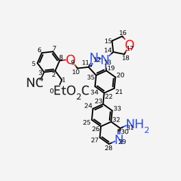 CCOC(=O)Cc1c(C#N)cccc1OCc1nn(C2CCOC2)c2ccc(-c3ccc4ccnc(N)c4c3)cc12